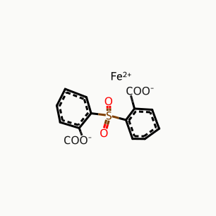 O=C([O-])c1ccccc1S(=O)(=O)c1ccccc1C(=O)[O-].[Fe+2]